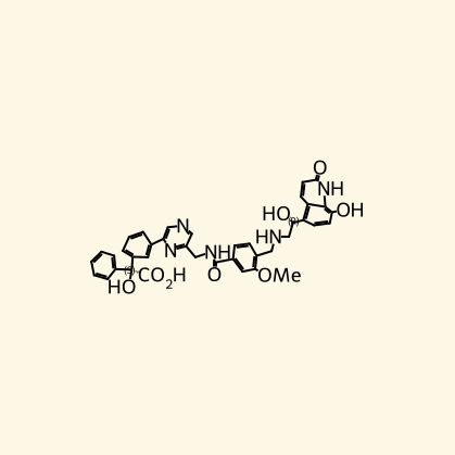 COc1cc(C(=O)NCc2cncc(-c3cccc([C@](O)(C(=O)O)c4ccccc4)c3)n2)ccc1CNC[C@H](O)c1ccc(O)c2[nH]c(=O)ccc12